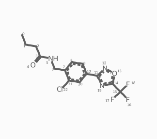 CCCC(=O)NCc1ccc(-c2noc(C(F)(F)F)n2)cc1Cl